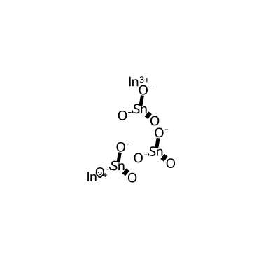 [In+3].[In+3].[O]=[Sn]([O-])[O-].[O]=[Sn]([O-])[O-].[O]=[Sn]([O-])[O-]